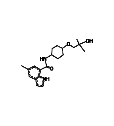 Cc1cc(C(=O)NC2CCC(OCC(C)(C)O)CC2)c2[nH]ccc2c1